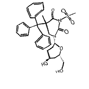 CC1(C(c2ccccc2)(c2ccccc2)c2ccccc2)CN([C@H]2C[C@H](O)[C@@H](CO)O2)C(=O)N(S(C)(=O)=O)C1=O